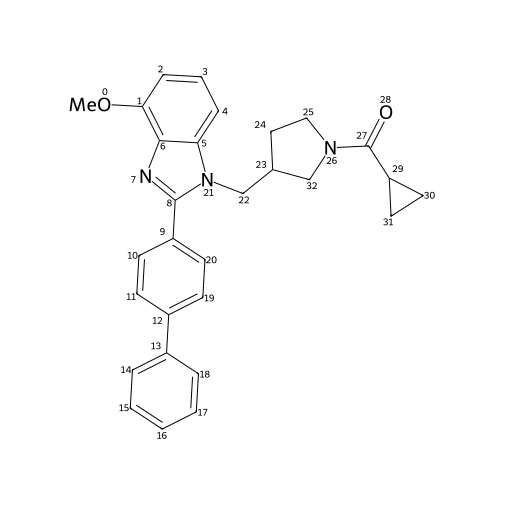 COc1cccc2c1nc(-c1ccc(-c3ccccc3)cc1)n2CC1CCN(C(=O)C2CC2)C1